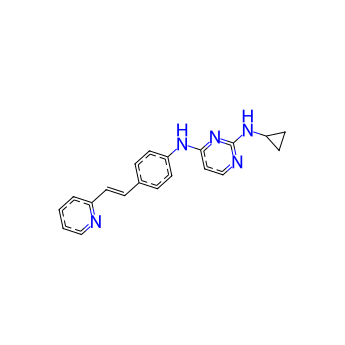 C(=Cc1ccccn1)c1ccc(Nc2ccnc(NC3CC3)n2)cc1